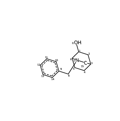 OC1CC2CCC1N(Cc1ccccc1)C2